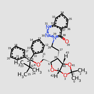 CC1(C)O[C@@H]2O[C@H](CO[Si](c3ccccc3)(c3ccccc3)C(C)(C)C)[C@H](CCn3nnc4ccccc4c3=O)[C@@H]2O1